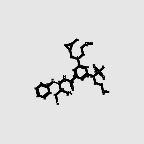 COCCN(CC1CC1C)c1cc(C(=O)N[C@@H](Cc2ccccc2)C(N)CF)cc(N(CCOC)S(C)(=O)=O)n1